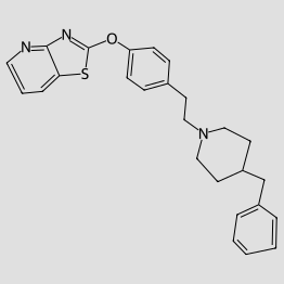 c1ccc(CC2CCN(CCc3ccc(Oc4nc5ncccc5s4)cc3)CC2)cc1